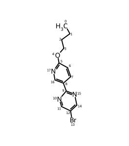 CCCCOc1ccc(-c2ncc(Br)cn2)cn1